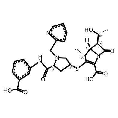 C[C@@H](O)[C@H]1C(=O)N2C(C(=O)O)=C(S[C@H]3C[C@@H](C(=O)Nc4cccc(C(=O)O)c4)N(Cc4ccccn4)C3)[C@H](C)[C@H]12